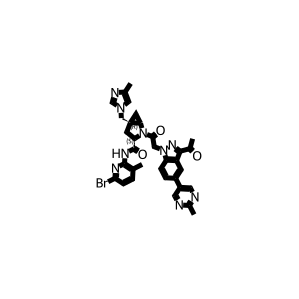 CC(=O)c1nn(CC(=O)N2C3C[C@]3(Cn3cnc(C)c3)C[C@H]2C(=O)Nc2nc(Br)ccc2C)c2ccc(-c3cnc(C)nc3)cc12